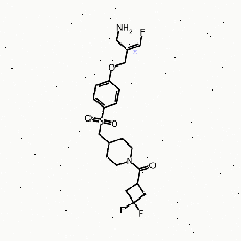 NC/C(=C\F)COc1ccc(S(=O)(=O)CC2CCN(C(=O)C3CC(F)(F)C3)CC2)cc1